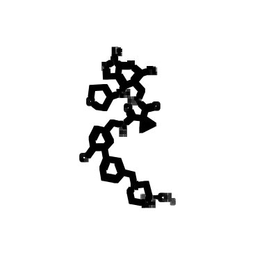 CCc1nc2c(cnn2CC)c(NC2CCOCC2)c1CNC(=O)C1(C(=O)NCc2ccc(Cl)c(-c3cccc(CN4CCN[C@@H](C)C4)c3)c2)CC1